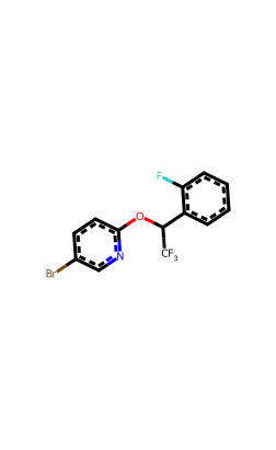 Fc1ccccc1C(Oc1ccc(Br)cn1)C(F)(F)F